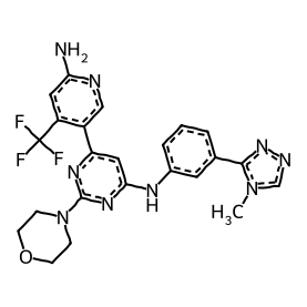 Cn1cnnc1-c1cccc(Nc2cc(-c3cnc(N)cc3C(F)(F)F)nc(N3CCOCC3)n2)c1